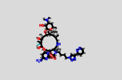 CC[C@H]1OC(=O)C(C)(F)C(=O)[C@H](C)[C@@H](O[C@@H]2O[C@H](C)CC(N(C)C)C2O)[C@](C)(OC)C[C@@H](C)CN[C@H](C)[C@H]2N(CCCCn3cc(-c4cccnn4)nn3)C(=O)O[C@]12n1ccc(N)nc1=O